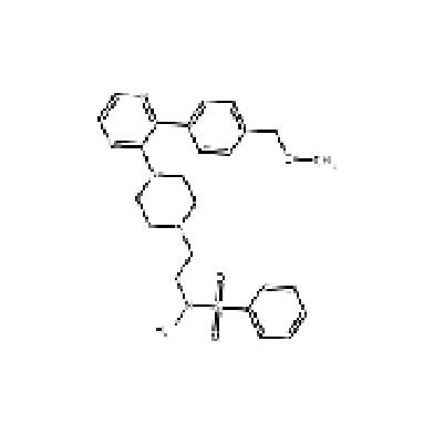 COCc1ccc(-c2nccnc2N2CCN(CCN(C)S(=O)(=O)c3ccccc3)CC2)cc1